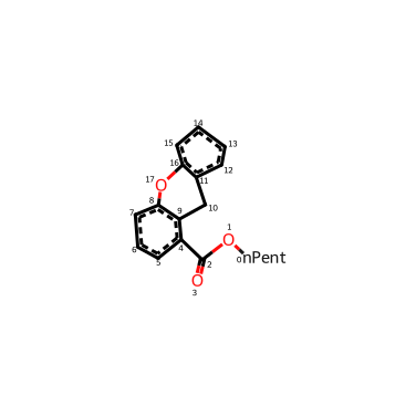 CCCCCOC(=O)c1cccc2c1Cc1ccccc1O2